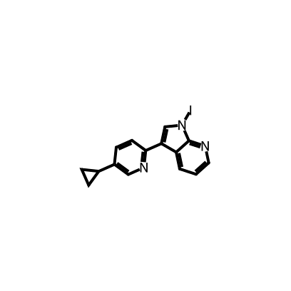 In1cc(-c2ccc(C3CC3)cn2)c2cccnc21